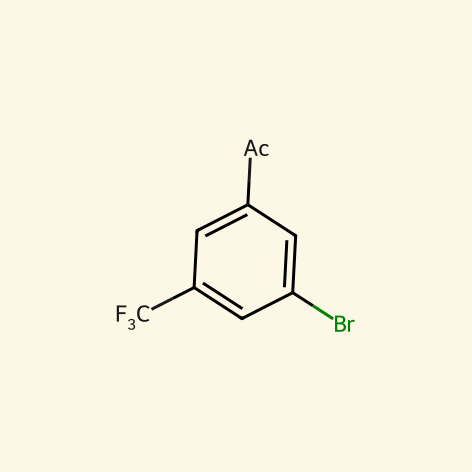 CC(=O)c1cc(Br)cc(C(F)(F)F)c1